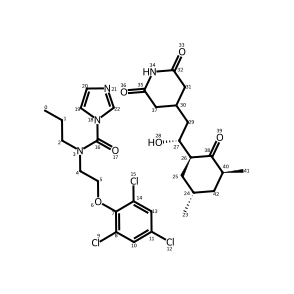 CCCN(CCOc1c(Cl)cc(Cl)cc1Cl)C(=O)n1ccnc1.C[C@@H]1C[C@@H]([C@H](O)CC2CC(=O)NC(=O)C2)C(=O)[C@@H](C)C1